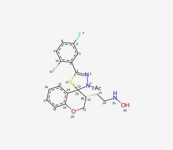 CC(=O)N1N=C(c2cc(F)ccc2F)S[C@@]12c1ccccc1OC[C@H]2CCNO